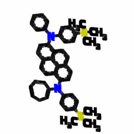 CS(C)(C)c1ccc(N(C2=CCC=CC=C2)c2ccc3ccc4c(N(c5ccccc5)c5ccc(S(C)(C)C)cc5)ccc5ccc2c3c54)cc1